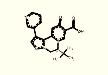 CC(C)(C)[C@@H]1Cn2ncc(-c3cccnc3)c2-c2cc(=O)c(C(=O)O)cn21